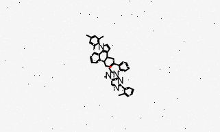 Cc1cc(C)c(-n2ccc3c2-c2ccccc2C2CC=C(c4ccccc4N4c5nc(-c6ccccc6C)ncc5N(C)C4C)CC32)c(C)c1